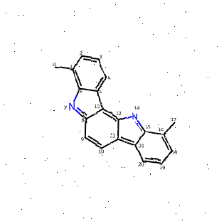 Cc1cccc2c1N=c1ccc3c(c1-2)N=c1c(C)cccc1=3